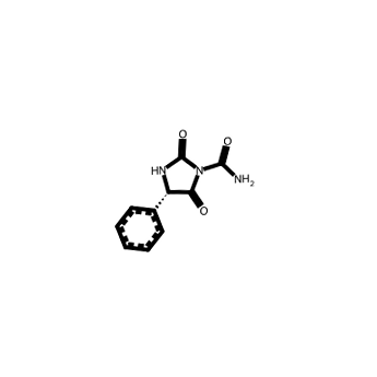 NC(=O)N1C(=O)N[C@@H](c2ccccc2)C1=O